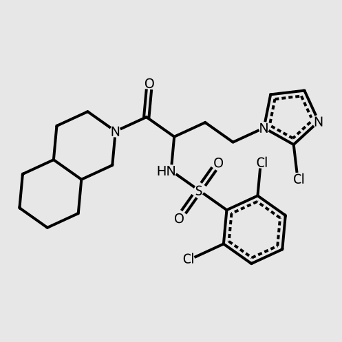 O=C(C(CCn1ccnc1Cl)NS(=O)(=O)c1c(Cl)cccc1Cl)N1CCC2CCCCC2C1